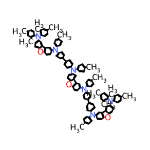 Cc1ccc(N(c2ccc(-c3ccc(N(c4ccc(C)cc4)c4ccc5oc6ccc(N(c7ccc(C)cc7C)c7ccc(C)cc7C)cc6c5c4)cc3)cc2)c2ccc3oc4ccc(N(c5ccc(C)cc5)c5ccc(-c6ccc(N(c7ccc(C)cc7)c7ccc8oc9ccc(N(c%10ccc(C)cc%10C)c%10ccc(C)cc%10C)cc9c8c7)cc6)cc5)cc4c3c2)cc1